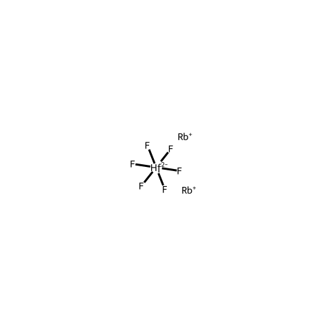 [F][Hf-2]([F])([F])([F])([F])[F].[Rb+].[Rb+]